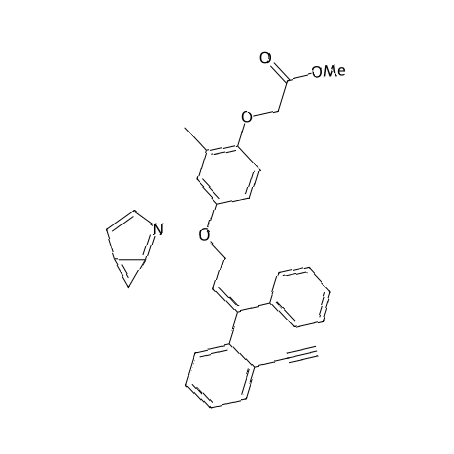 C#Cc1ccccc1C(=CCOc1ccc(OCC(=O)OC)c(C)c1)c1ccccc1.c1cc2cc-2n1